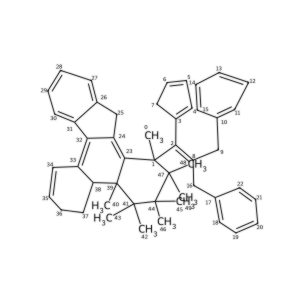 CC1(C(C2=CC=CC2)=C(Cc2ccccc2)Cc2ccccc2)C2=C3Cc4ccccc4C3=C3C=CCCC3C2(C)C(C)(C)C(C)(C)C1(C)C